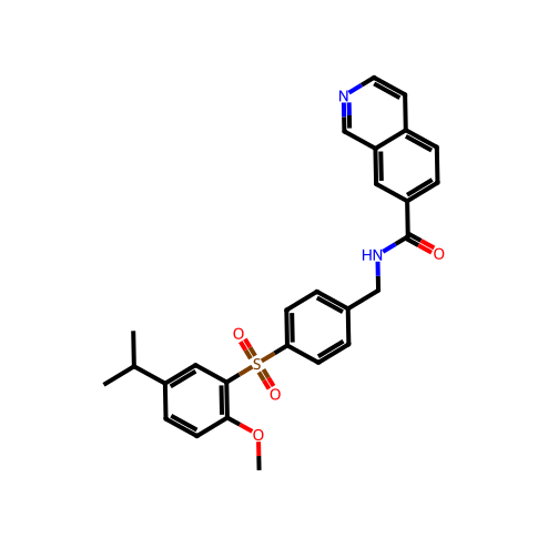 COc1ccc(C(C)C)cc1S(=O)(=O)c1ccc(CNC(=O)c2ccc3ccncc3c2)cc1